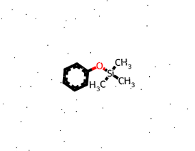 C[Si](C)(C)Oc1cc[c]cc1